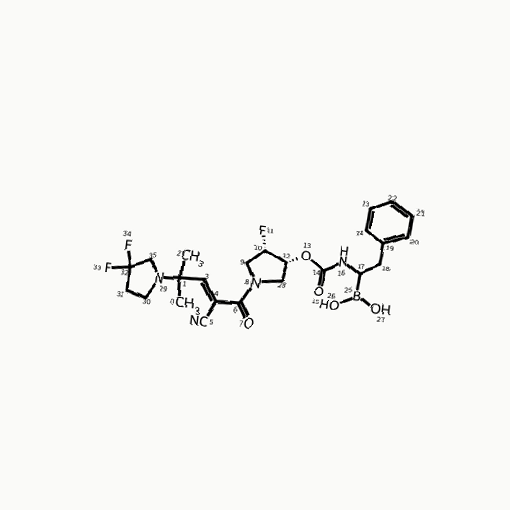 CC(C)(C=C(C#N)C(=O)N1C[C@H](F)[C@H](OC(=O)NC(Cc2ccccc2)B(O)O)C1)N1CCC(F)(F)C1